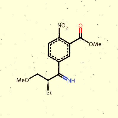 CC[C@@H](COC)C(=N)c1ccc([N+](=O)[O-])c(C(=O)OC)c1